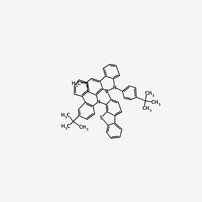 Cc1cc2c3c(c1)N(c1ccc(C(C)(C)C)cc1-c1ccccc1)c1c(ccc4c1sc1ccccc14)B3N(c1ccc(C(C)(C)C)cc1)c1ccccc1-2